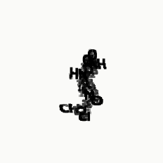 O=C(CCc1cc(Cl)cc(Cl)c1)N1CCC2(CC1)CC(Nc1ccc3[nH]c(=O)oc3c1)C2